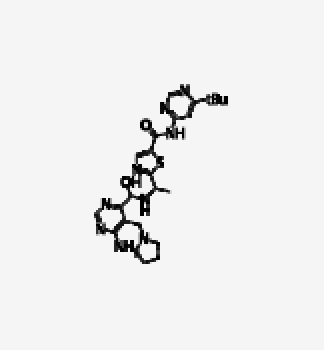 CC(NC(O)c1ncnc(N)c1CN1CCCC1)c1ncc(C(=O)Nc2cc(C(C)(C)C)ncn2)s1